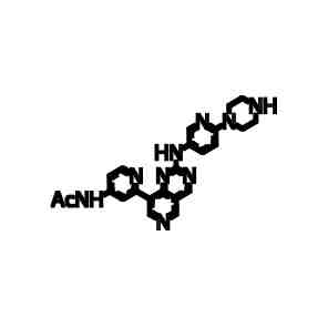 CC(=O)Nc1ccnc(-c2cncc3cnc(Nc4ccc(N5CCNCC5)nc4)nc23)c1